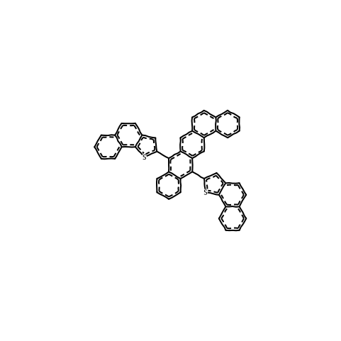 c1ccc2c(c1)ccc1cc3c(-c4cc5ccc6ccccc6c5s4)c4ccccc4c(-c4cc5ccc6ccccc6c5s4)c3cc12